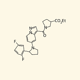 CCOC(=O)C1CCN(C(=O)c2cnn3ccc(N4CCCC4c4cc(F)ccc4F)cc23)C1